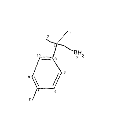 BC(C)(C)c1ccc(C)cc1